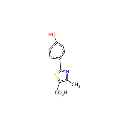 Cc1nc(-c2ccc(O)cc2)sc1C(=O)O